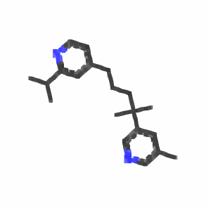 Cc1cncc(C(C)(C)CCCc2ccnc(C(C)C)c2)c1